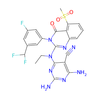 CCN(c1nc(N)nc(N)c1C#N)c1nc2cccc(S(C)(=O)=O)c2c(=O)n1-c1cc(F)cc(C(F)F)c1